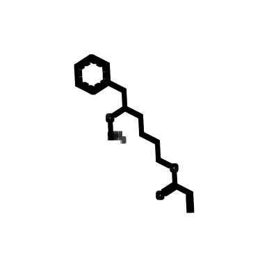 C=CC(=O)OCCCCC(Cc1ccccc1)O[SiH3]